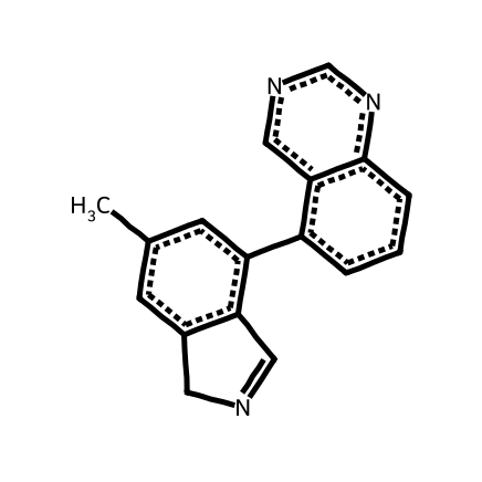 Cc1cc2c(c(-c3cccc4ncncc34)c1)C=NC2